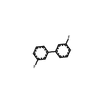 Fc1[c]ccc(-c2cc[c]c(F)c2)c1